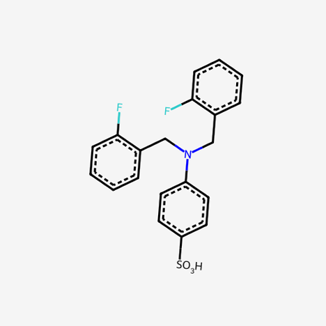 O=S(=O)(O)c1ccc(N(Cc2ccccc2F)Cc2ccccc2F)cc1